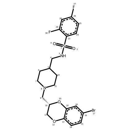 O=S(=O)(NCC1CCN(C[C@H]2COc3ccc(Br)cc3O2)CC1)c1ccc(F)cc1F